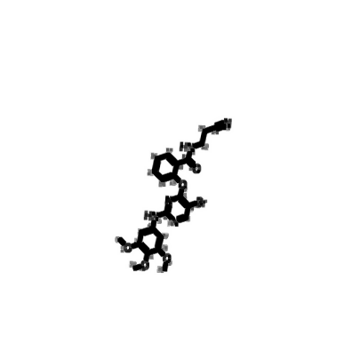 COc1cc(Nc2ncc(Br)c(Oc3ccccc3C(=O)NCCC#N)n2)cc(OC)c1OC